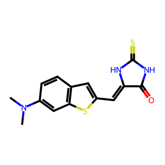 CN(C)c1ccc2cc(/C=C3\NC(=S)NC3=O)sc2c1